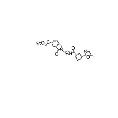 CCOC(=O)c1ccc2c(c1)C(=O)N(CCNC(=O)c1cccc(-c3ncc(C)o3)c1)C2